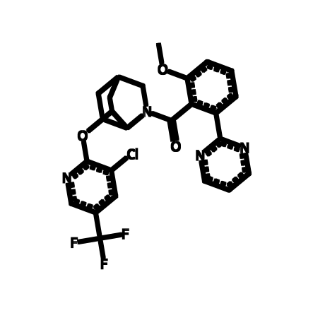 COc1cccc(-c2ncccn2)c1C(=O)N1CC2CCC1C(Oc1ncc(C(F)(F)F)cc1Cl)C2